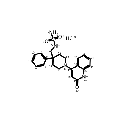 Cl.NS(=O)(=O)NCC1(c2ccccc2)CCN(c2cc(=O)[nH]c3ccccc23)CC1